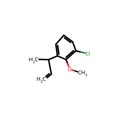 [CH2]C(C=C)c1cccc(Cl)c1OC